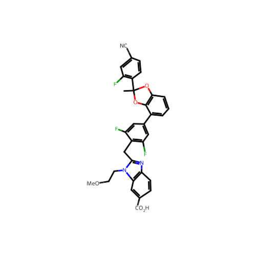 COCCn1c(Cc2c(F)cc(-c3cccc4c3OC(C)(c3ccc(C#N)cc3F)O4)cc2F)nc2ccc(C(=O)O)cc21